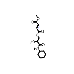 COC(=O)/C=C/C(=O)OCC(O)C(=O)NC1CCCCC1